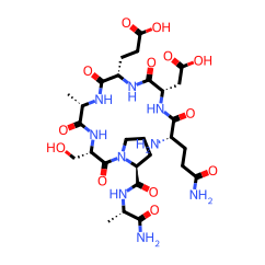 C[C@H](NC(=O)[C@@H]1CCCN1C(=O)[C@H](CO)NC(=O)[C@H](C)NC(=O)[C@H](CCC(=O)O)NC(=O)[C@H](CC(=O)O)NC(=O)[C@@H](N)CCC(N)=O)C(N)=O